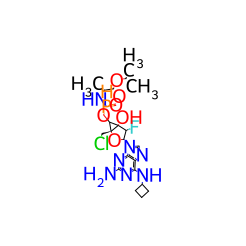 CC(C)OC(=O)[C@H](C)N[PH](=O)OC1[C@@]2(CCl)O[C@@H](n3cnc4c(NC5CCC5)nc(N)nc43)[C@H](F)[C@@]12O